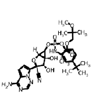 COC(C)(C)COC(=O)[C@H](C)NP(=O)(Oc1ccc(C(C)(C)C)cc1)OC1[C@H]2O[C@@](C#N)(c3ccc4c(N)ncnn34)[C@H](O)[C@@]12O